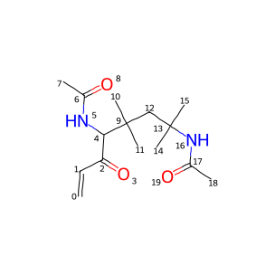 C=CC(=O)C(NC(C)=O)C(C)(C)CC(C)(C)NC(C)=O